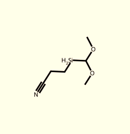 COC(OC)[SiH2]CCC#N